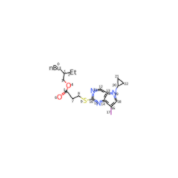 CCCCC(CC)COC(=O)CCSc1ncc2c(n1)c(I)cn2C1CC1